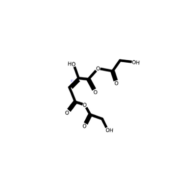 O=C(/C=C(/O)C(=O)OC(=O)CO)OC(=O)CO